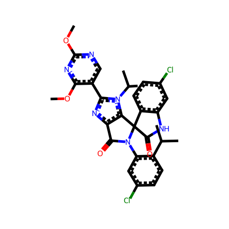 COc1ncc(-c2nc3c(n2C(C)C)C2(C(=O)Nc4cc(Cl)ccc42)N(c2cc(Cl)ccc2C(C)C)C3=O)c(OC)n1